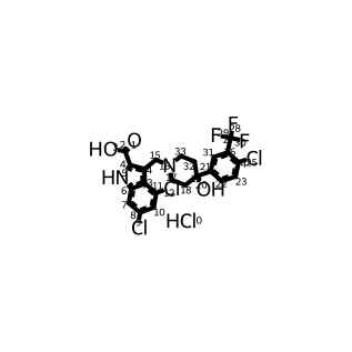 Cl.O=C(O)c1[nH]c2cc(Cl)cc(Cl)c2c1CN1CCC(O)(c2ccc(Cl)c(C(F)(F)F)c2)CC1